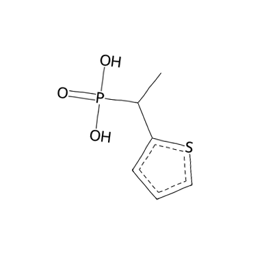 CC(c1cccs1)P(=O)(O)O